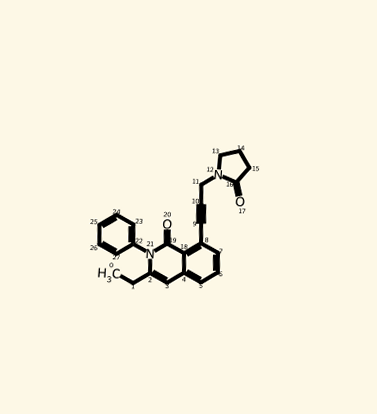 CCc1cc2cccc(C#CCN3CCCC3=O)c2c(=O)n1-c1ccccc1